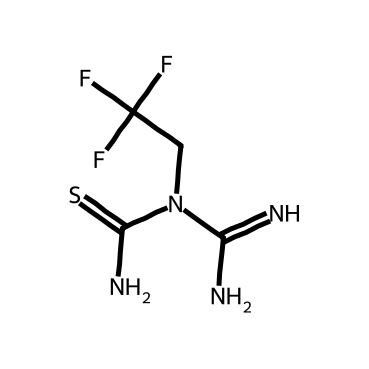 N=C(N)N(CC(F)(F)F)C(N)=S